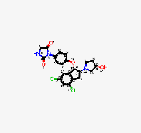 O=C1CNC(=O)N1c1ccc(O[C@H]2c3cc(Cl)cc(Cl)c3C[C@@H]2N2CC[C@@H](O)C2)cc1